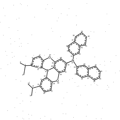 CC(C)c1ccc2c(c1)B1c3cc(C(C)C)ccc3Oc3cc(N(c4ccc5ccccc5c4)c4ccc5ccccc5c4)cc(c31)O2